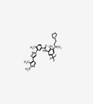 Cc1ccc(C(=O)Nc2cc(C(F)(F)F)cc(N(C)CCN3CCCC3)c2C)cc1-n1cc(-c2cnn(C)c2C)nn1